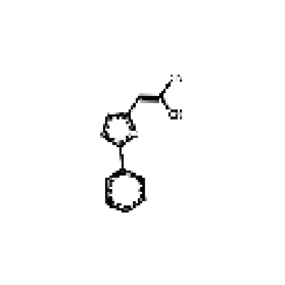 N#CC(C#N)=Cc1ccc(-c2ccccc2)s1